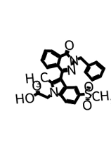 Cc1c(-c2nn(Cc3ccccc3)c(=O)c3ccccc23)c2cc(S(C)(=O)=O)ccc2n1CC(=O)O